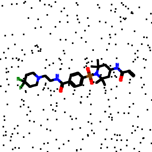 C=CC(=O)NC1CC(C)(C)N(S(=O)(=O)c2ccc(C(=O)NCCN3CCC(F)(F)CC3)cc2)C(C)(C)C1